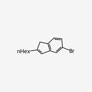 CCCCCCC1=Cc2cc(Br)ccc2C1